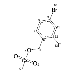 CS(=O)(=O)OCc1ccc(Br)cc1F